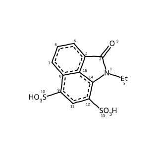 CCN1C(=O)c2cccc3c(S(=O)(=O)O)cc(S(=O)(=O)O)c1c23